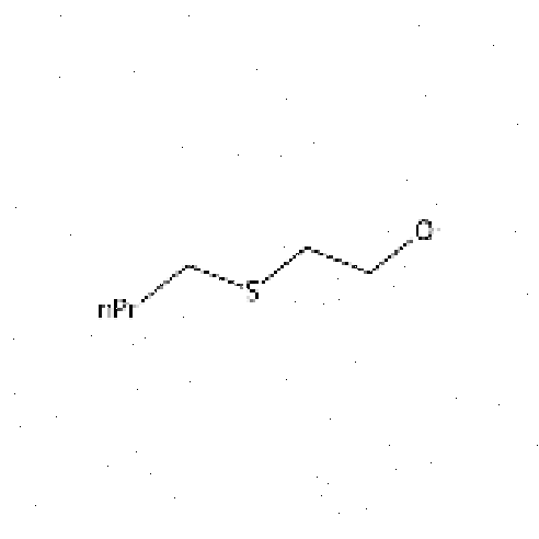 CCCCSCC[O]